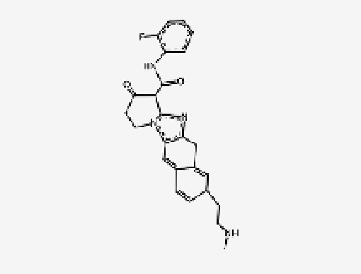 CNCCC1C=CC2=Cc3c(nc4n3CCC(=O)C4C(=O)Nc3ccccc3F)CC2=C1